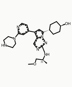 COC[C@H](C)Nc1ncc2c(-c3ccnc(N4CCNCC4)c3)cc([C@H]3CC[C@H](O)CC3)n2n1